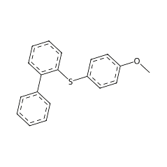 COc1ccc(Sc2ccccc2-c2ccccc2)cc1